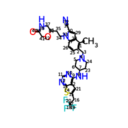 Cc1c(CN2CCC(Nc3ncnc4sc(CC(F)(F)F)cc34)CC2)ccc2c1cc(C#N)n2CC[C@@H]1CNC(=O)CO1